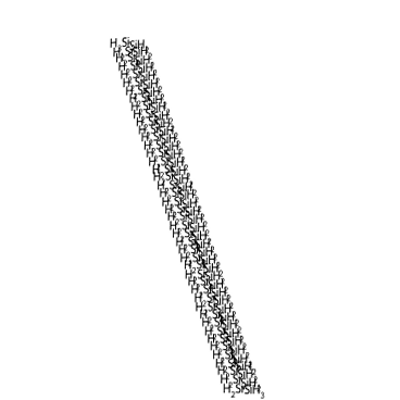 [SiH3][SiH2][SiH2][SiH2][SiH2][SiH2][SiH2][SiH2][SiH2][SiH2][SiH2][SiH2][SiH2][SiH2][SiH2][SiH2][SiH2][SiH2][SiH2][SiH2][SiH2][SiH2][SiH2][SiH2][SiH2][SiH2][SiH2][SiH2][SiH2][SiH2][SiH2][SiH2][SiH2][SiH2][SiH2][SiH2][SiH2][SiH2][SiH2][SiH2][SiH2][SiH2][SiH2][SiH2][SiH2][SiH2][SiH2][SiH2][SiH2][SiH2][SiH2][SiH2][SiH2][SiH2][SiH2][SiH2][SiH2][SiH2][SiH2][SiH2][SiH2][SiH2][SiH2][SiH2][SiH2][SiH2][SiH2][SiH2][SiH2][SiH2][SiH2][SiH2][SiH2][SiH2][SiH2][SiH2][SiH2][SiH2][SiH2][SiH2][SiH2][SiH2][SiH2][SiH2][SiH2][SiH2][SiH2][SiH3]